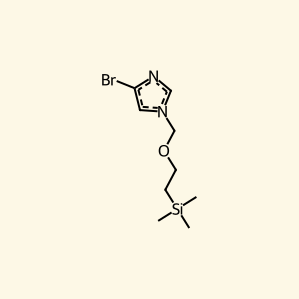 C[Si](C)(C)CCOCn1cnc(Br)c1